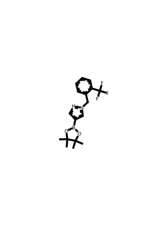 CC1(C)OB(c2cnn(Cc3ccccc3C(F)(F)F)c2)OC1(C)C